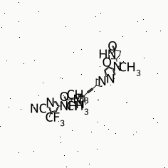 CN(c1ccc(N2CC(C#Cc3cnn(C(C)(C)C(=O)Nc4cnc(C#N)c(C(F)(F)F)c4)c3)C2)nc1)C1CCC(=O)NC1=O